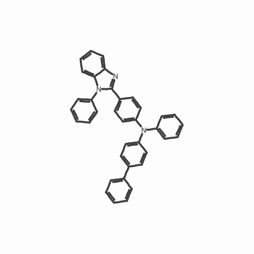 c1ccc(-c2ccc(N(c3ccccc3)c3ccc(-c4nc5ccccc5n4-c4ccccc4)cc3)cc2)cc1